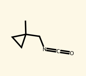 CC1(CN=C=O)CC1